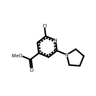 COC(=O)c1cc(Cl)nc(N2CCCC2)c1